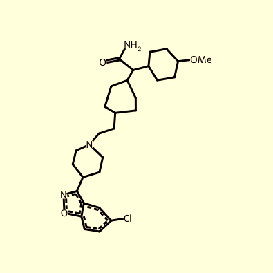 COC1CCC(C(C(N)=O)C2CCC(CCN3CCC(c4noc5ccc(Cl)cc45)CC3)CC2)CC1